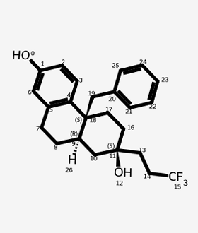 Oc1ccc2c(c1)CC[C@@H]1C[C@@](O)(CCC(F)(F)F)CC[C@@]21Cc1ccccc1